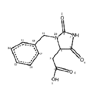 O=C(O)CC1C(=O)NC(=O)N1Cc1ccccc1